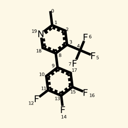 Cc1cc(C(F)(F)F)c(-c2cc(F)c(F)c(F)c2)cn1